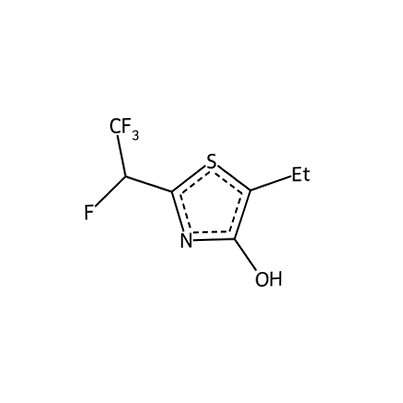 CCc1sc(C(F)C(F)(F)F)nc1O